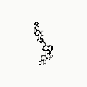 CC1(CN2CC[C@@H](n3cc(Cc4ccc5c6c(cccc46)C(=O)N5C4CCC(=O)NC4=O)cn3)C(F)(F)C2)CCC1